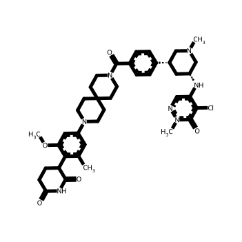 COc1cc(N2CCC3(CCN(C(=O)c4ccc([C@H]5C[C@@H](Nc6cnn(C)c(=O)c6Cl)CN(C)C5)cc4)CC3)CC2)cc(C)c1C1CCC(=O)NC1=O